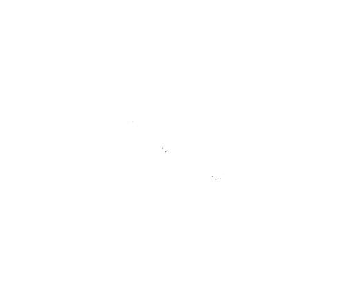 CCOc1ccc2c(c1)NC(c1ccc([N+](=O)[O-])cc1)C2